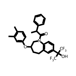 Cc1ccc(OC2CCc3cc(C(O)(C(F)(F)F)C(F)(F)F)ccc3N(C(=O)C(C)c3ccccc3)C2)cc1C